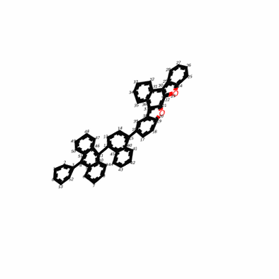 c1ccc(-c2c3ccccc3c(-c3ccc(-c4ccc5oc6c7oc8ccccc8c7c7ccccc7c6c5c4)c4ccccc34)c3ccccc23)cc1